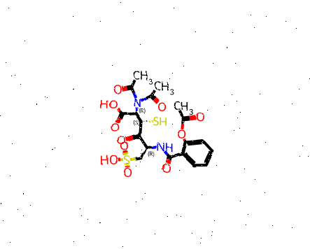 CC(=O)Oc1ccccc1C(=O)N[C@@H](CS(=O)(=O)O)C(=O)[C@@H](S)[C@@H](C(=O)O)N(C(C)=O)C(C)=O